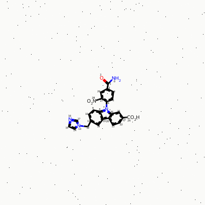 NC(=O)c1ccc(-n2c3ccc(Cn4ccnc4)cc3c3ccc(C(=O)O)cc32)c([N+](=O)[O-])c1